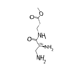 COC(=O)CCNC(=O)[C@@H](N)CN